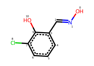 ON=Cc1cccc(Cl)c1O